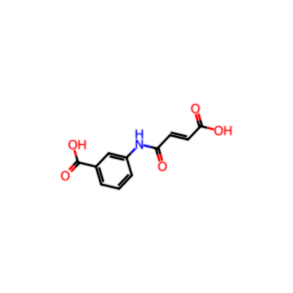 O=C(O)/C=C/C(=O)Nc1cccc(C(=O)O)c1